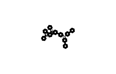 c1ccc(-c2ccc(N(c3ccc(-c4ccccc4)cc3)c3ccc(-c4ccc5c(c4)c4ccc6c(c7ccccc7n6-c6ccccc6)c4n5-c4ccccc4)cc3)cc2)cc1